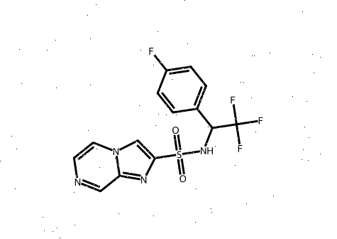 O=S(=O)(NC(c1ccc(F)cc1)C(F)(F)F)c1cn2ccncc2n1